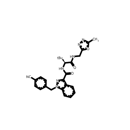 Cc1nnc(CNC(=O)[C@@H](NC(=O)c2nn(Cc3ccc(C#N)cc3)c3ccccc23)C(C)(C)C)o1